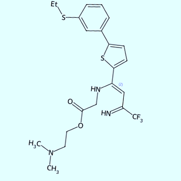 CCSc1cccc(-c2ccc(/C(=C/C(=N)C(F)(F)F)NCC(=O)OCCN(C)C)s2)c1